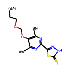 COCCOCOc1c(C(C)(C)C)nc(-c2n[nH]c(=S)s2)nc1C(C)(C)C